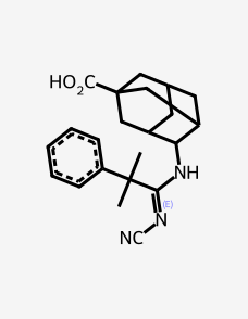 CC(C)(/C(=N\C#N)NC1C2CC3CC1CC(C(=O)O)(C3)C2)c1ccccc1